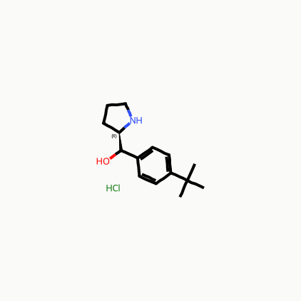 CC(C)(C)c1ccc(C(O)[C@H]2CCCN2)cc1.Cl